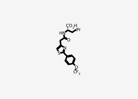 CC(C)C[C@H](NC(=O)Cc1csc(-c2ccc(OC(F)(F)F)cc2)n1)C(=O)O